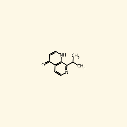 CC(C)c1nccc2c(=O)cc[nH]c12